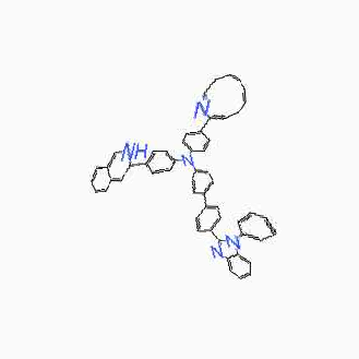 C1=c2ccccc2=CC(c2ccc(N(c3ccc(C4=C/C/C=C\C=C/C/C=N\4)cc3)c3ccc(-c4ccc(-c5nc6ccccc6n5-c5ccccc5)cc4)cc3)cc2)N1